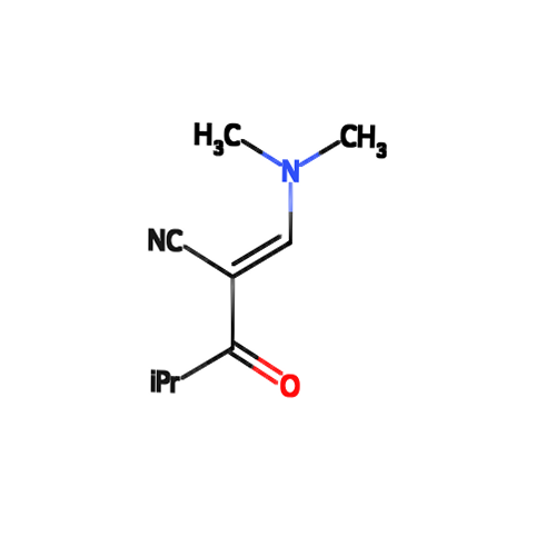 CC(C)C(=O)/C(C#N)=C/N(C)C